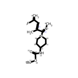 C=C(F)/C=C(C)/C(=N\C)N1CCC(NC(=O)OC(C)(C)C)CC1